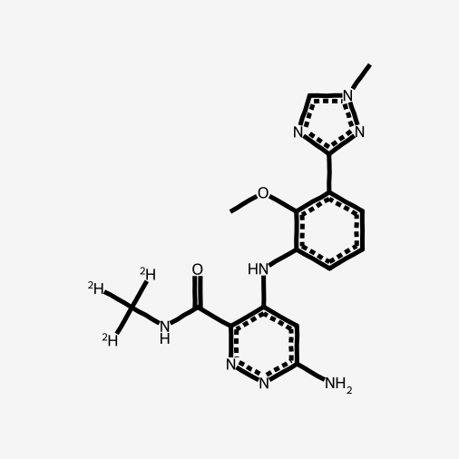 [2H]C([2H])([2H])NC(=O)c1nnc(N)cc1Nc1cccc(-c2ncn(C)n2)c1OC